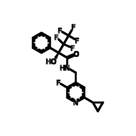 O=C(NCc1cc(C2CC2)ncc1F)[C@](O)(c1ccccc1)C(F)(F)C(F)(F)F